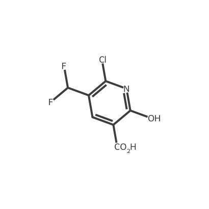 O=C(O)c1cc(C(F)F)c(Cl)nc1O